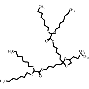 CCCCCCCSC(SCCCCCCC)C(=O)OCCCCCC1(CCCCCOC(=O)C(SCCCCCCC)SCCCCCCC)OCC(CCN(C)C)O1